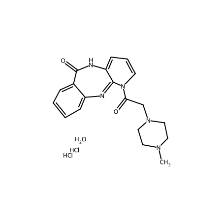 CN1CCN(CC(=O)N2C=CC=C3NC(=O)c4ccccc4N=C32)CC1.Cl.Cl.O